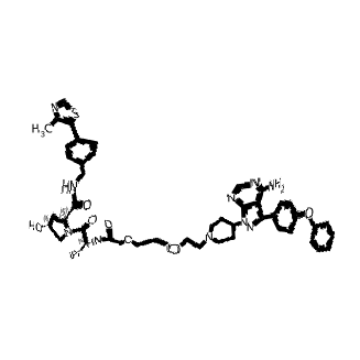 Cc1ncsc1-c1ccc(CNC(=O)[C@@H]2C[C@@H](O)CN2C(=O)[C@@H](NC(=O)COCCOCCN2CCC(n3nc(-c4ccc(Oc5ccccc5)cc4)c4c(N)ncnc43)CC2)C(C)C)cc1